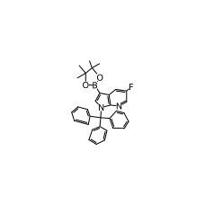 CC1(C)OB(c2cn(C(c3ccccc3)(c3ccccc3)c3ccccc3)c3ncc(F)cc23)OC1(C)C